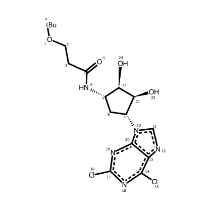 CC(C)(C)OCCC(=O)N[C@H]1C[C@@H](n2cnc3c(Cl)nc(Cl)nc32)[C@H](O)[C@@H]1O